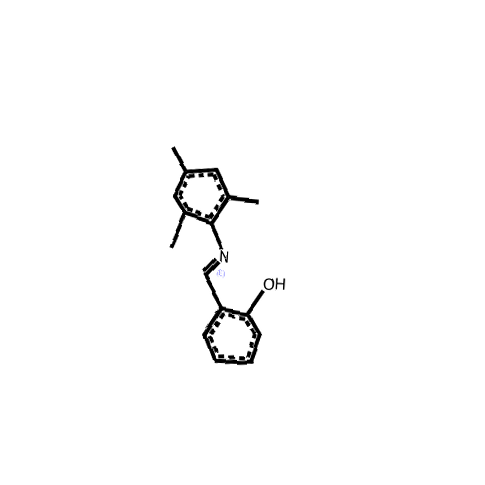 Cc1cc(C)c(/N=C/c2ccccc2O)c(C)c1